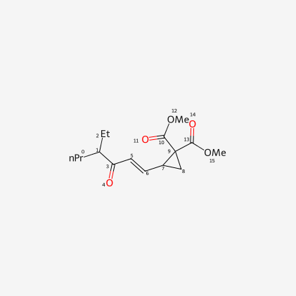 CCCC(CC)C(=O)C=CC1CC1(C(=O)OC)C(=O)OC